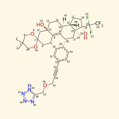 CC1(C)COC2(CCC3=C4[C@@H](CC[C@@]3(O)C2)[C@@H]2CC[C@@](O)(C(F)(F)C(F)(F)F)[C@@]2(C)C[C@@H]4c2ccc(C#CCOCc3nnn[nH]3)cc2)OC1